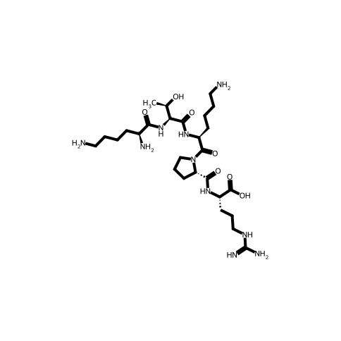 C[C@@H](O)[C@H](NC(=O)[C@@H](N)CCCCN)C(=O)N[C@@H](CCCCN)C(=O)N1CCC[C@H]1C(=O)N[C@@H](CCCNC(=N)N)C(=O)O